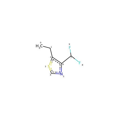 CCc1s[c]nc1C(F)F